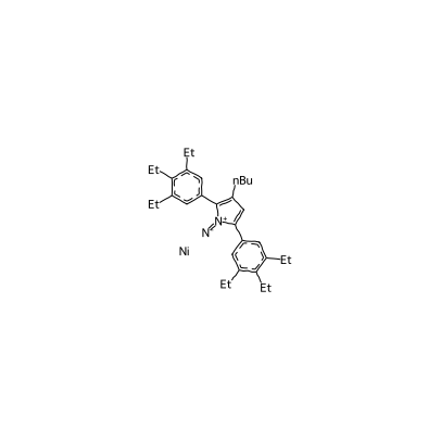 CCCCC1=C(c2cc(CC)c(CC)c(CC)c2)[N+](=[N-])C(c2cc(CC)c(CC)c(CC)c2)=C1.[Ni]